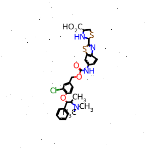 CC(C(Oc1ccc(COC(=O)Nc2ccc3nc(C4N[C@@H](C(=O)O)CS4)sc3c2)cc1Cl)c1ccccc1)N(C)C